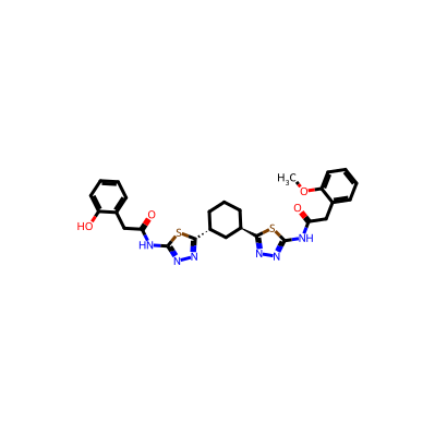 COc1ccccc1CC(=O)Nc1nnc([C@@H]2CCC[C@@H](c3nnc(NC(=O)Cc4ccccc4O)s3)C2)s1